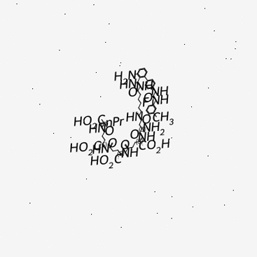 CCC[C@H](NC(=O)CC[C@H](NC(=O)CC[C@H](NC(=O)CC[C@H](NC(=O)[C@@H](N)CC(=O)NCCCCCC(=O)NC(=N)c1c(N)cccc1-c1ccc(NC(=O)Nc2cc(C)ccc2F)cc1)C(=O)O)C(=O)O)C(=O)O)C(=O)O